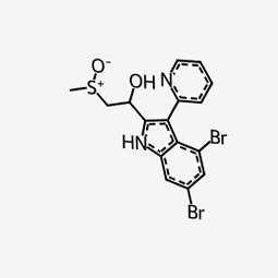 C[S+]([O-])CC(O)c1[nH]c2cc(Br)cc(Br)c2c1-c1ccccn1